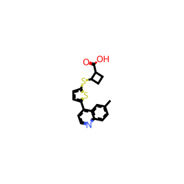 Cc1ccc2nccc(-c3ccc(SC4CCC4C(=O)O)s3)c2c1